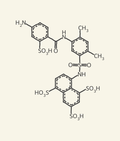 Cc1cc(C)c(S(=O)(=O)Nc2ccc(S(=O)(=O)O)c3cc(S(=O)(=O)O)cc(S(=O)(=O)O)c23)cc1NC(=O)c1ccc(N)cc1S(=O)(=O)O